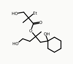 CCC(C)(CO)C(=O)OC(C)(CCO)CC1(O)CCCCC1